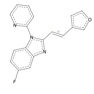 Fc1ccc2c(c1)nc(/C=C/c1ccoc1)n2-c1ccccn1